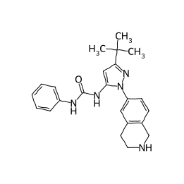 CC(C)(C)c1cc(NC(=O)Nc2ccccc2)n(-c2ccc3c(c2)CCNC3)n1